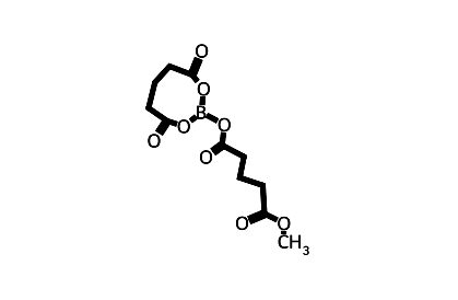 COC(=O)CCCC(=O)OB1OC(=O)CCCC(=O)O1